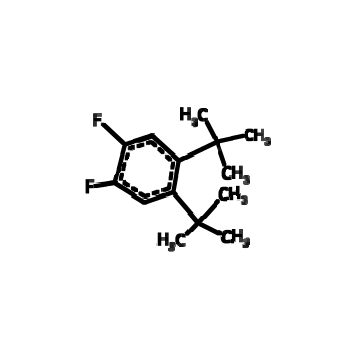 CC(C)(C)c1cc(F)c(F)cc1C(C)(C)C